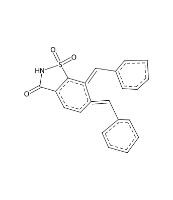 O=C1NS(=O)(=O)c2c1ccc(=Cc1ccccc1)c2=Cc1ccccc1